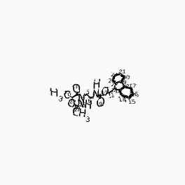 CCC(=O)N(CCNC(=O)OCC1c2ccccc2-c2ccccc21)NC(C)=O